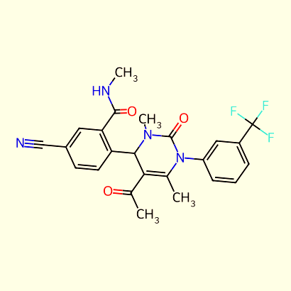 CNC(=O)c1cc(C#N)ccc1C1C(C(C)=O)=C(C)N(c2cccc(C(F)(F)F)c2)C(=O)N1C